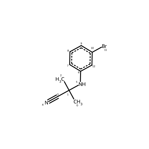 CC(C)(C#N)Nc1cccc(Br)c1